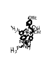 COc1ccc(C2[C@H](O)[C@@H](O)[C@@H](Cc3ccc(OC(=O)NCCP)cc3)N(Cc3cccc(N)c3)C(=O)N2Cc2cccc(N)c2)cc1